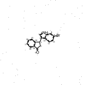 O=C1CC(c2c[nH]c3cc(Br)ccc23)c2ccccc21